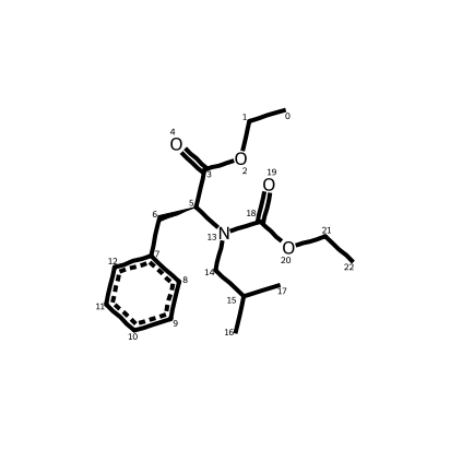 CCOC(=O)[C@H](Cc1ccccc1)N(CC(C)C)C(=O)OCC